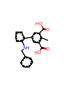 Cc1c(C(=O)O)cc(-c2ccccc2NCc2ccccc2)cc1C(=O)O